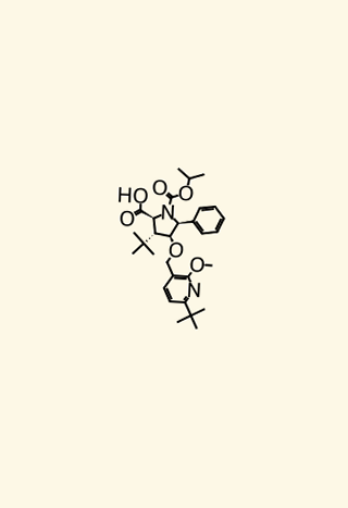 COc1nc(C(C)(C)C)ccc1CO[C@H]1[C@H](C(C)(C)C)[C@@H](C(=O)O)N(C(=O)OC(C)C)[C@H]1c1ccccc1